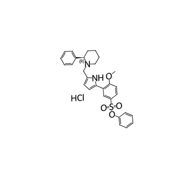 COc1ccc(S(=O)(=O)Oc2ccccc2)cc1-c1ccc(CN2CCCC[C@@H]2c2ccccc2)[nH]1.Cl